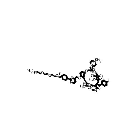 COCCOCCOCCOC[C@]1(F)CC=C(c2nccc(COc3ccc4cc3C[C@H](C(=O)O)Oc3ncnc5sc(-c6ccc(F)cc6)c(c35)-c3c(C)c(Cl)c(c(Cl)c3C)O[C@H](CN3CCN(C)CC3)CO4)n2)CC1